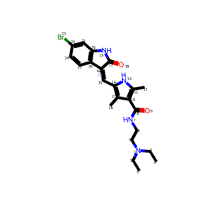 CCN(CC)CCNC(=O)c1c(C)[nH]c(/C=C2\C(=O)Nc3cc(Br)ccc32)c1C